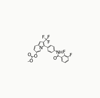 COC(=O)Oc1ccc2cc(C(F)(F)F)c(-c3ccc(NC(=O)c4cccc(F)c4F)cc3)n2c1